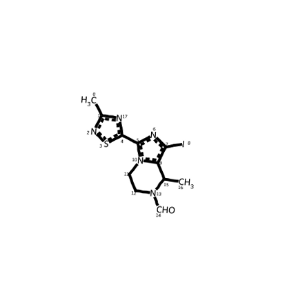 Cc1nsc(-c2nc(I)c3n2CCN(C=O)C3C)n1